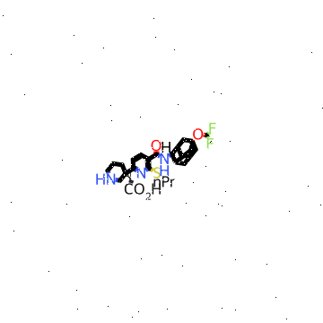 CCCSc1nc([C@]2(CC(=O)O)CCCNC2)ccc1C(=O)N[C@H]1C2CC3CC1C[C@@](OC(F)F)(C3)C2